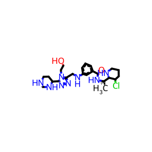 C[C@@H](NC(=O)c1cccc(NCc2nnc(C3CCNCN3)n2CCO)c1)C1NCCCC1Cl